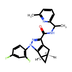 Cc1cccc(C(C)NC(=O)c2nn(-c3ccc(F)cc3F)c3c2C[C@H]2C[C@@H]32)n1